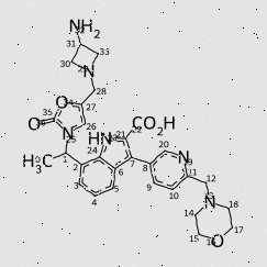 CC(c1cccc2c(-c3ccc(CN4CCOCC4)nc3)c(C(=O)O)[nH]c12)n1cc(CN2CC(N)C2)oc1=O